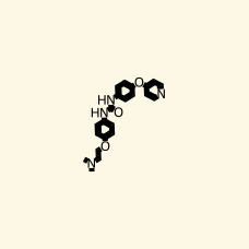 CN(C)CCOc1ccc(NC(=O)Nc2ccc(Oc3ccncc3)cc2)cc1